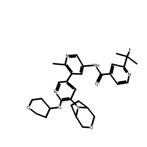 Cc1ncc(NC(=O)c2ccnc(C(C)(C)F)c2)cc1-c1cnc(OC2CCOCC2)c(N2C3CCC2COC3)c1